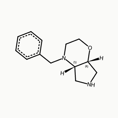 c1ccc(CN2CCO[C@@H]3CNC[C@@H]32)cc1